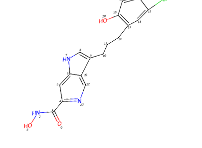 O=C(NO)c1cc2[nH]cc(CCCc3cc(Cl)ccc3O)c2cn1